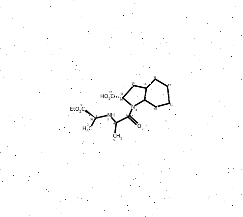 CCOC(=O)[C@H](C)NC(C)C(=O)N1C2CCCCC2C[C@H]1C(=O)O